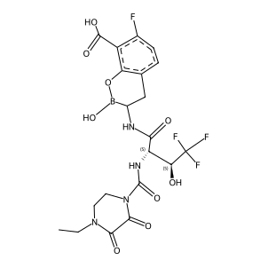 CCN1CCN(C(=O)N[C@H](C(=O)NC2Cc3ccc(F)c(C(=O)O)c3OB2O)[C@H](O)C(F)(F)F)C(=O)C1=O